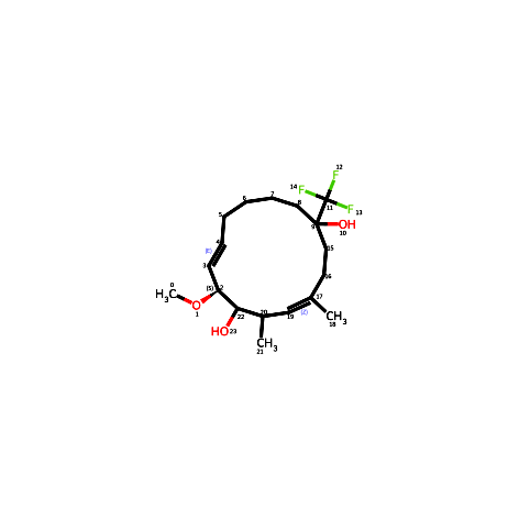 CO[C@H]1/C=C/CCCCC(O)(C(F)(F)F)CC/C(C)=C\C(C)C1O